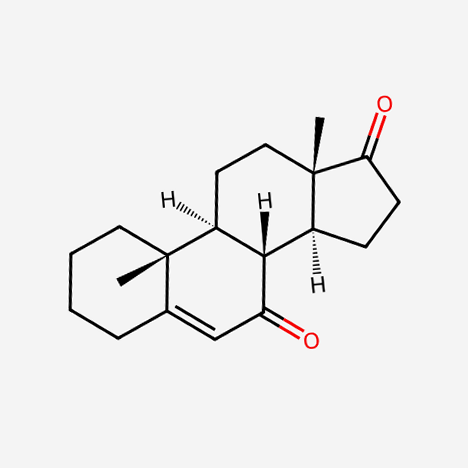 C[C@]12CCCCC1=CC(=O)[C@@H]1[C@@H]2CC[C@]2(C)C(=O)CC[C@@H]12